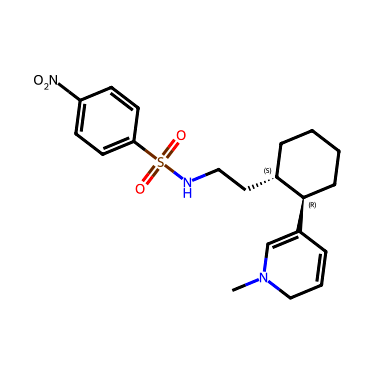 CN1C=C([C@@H]2CCCC[C@H]2CCNS(=O)(=O)c2ccc([N+](=O)[O-])cc2)C=CC1